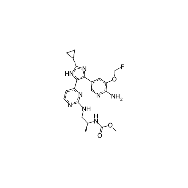 COC(=O)N[C@@H](C)CNc1nccc(-c2[nH]c(C3CC3)nc2-c2cnc(N)c(OCF)c2)n1